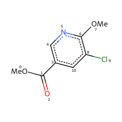 COC(=O)c1cnc(OC)c(Cl)c1